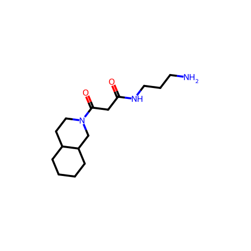 NCCCNC(=O)CC(=O)N1CCC2CCCCC2C1